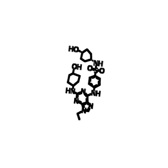 CCn1cnc2c(Nc3ccc(S(=O)(=O)N[C@H]4CC[C@H](O)CC4)cc3)nc(NC3CCC(O)CC3)nc21